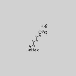 CCCCCCCCCCCCOC(=O)C[S]